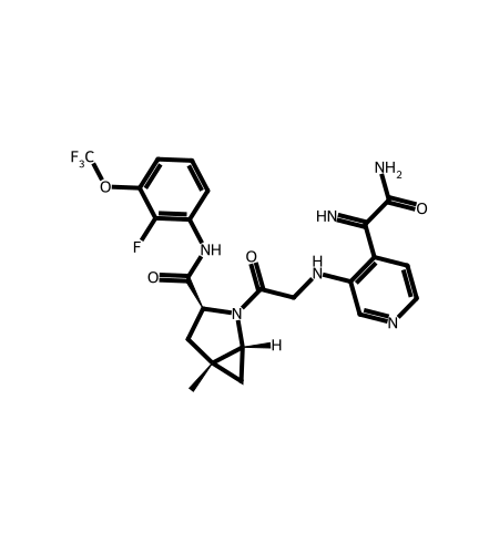 C[C@@]12C[C@@H](C(=O)Nc3cccc(OC(F)(F)F)c3F)N(C(=O)CNc3cnccc3C(=N)C(N)=O)[C@@H]1C2